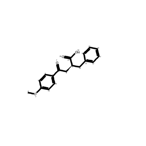 COc1ccc(C(=O)C[C@H](Cc2ccccc2)C(=O)O)cc1